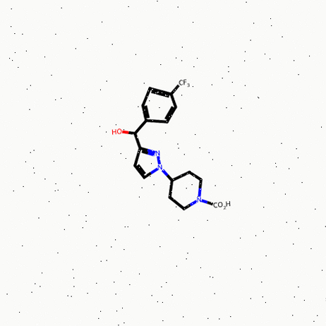 O=C(O)N1CCC(n2ccc(C(O)c3ccc(C(F)(F)F)cc3)n2)CC1